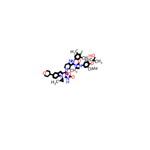 COc1cc(-n2ccn(-c3c4c(nn3-c3cc(C)c(F)c(C)c3)CCN(C(=O)c3cc5cc(C6CCOCC6)ccc5n3[C@@]3(c5noc(=O)[nH]5)C[C@@H]3C)C4C)c2=O)ccc1OC(C)(C)CO